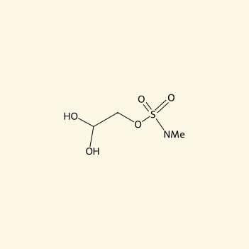 CNS(=O)(=O)OCC(O)O